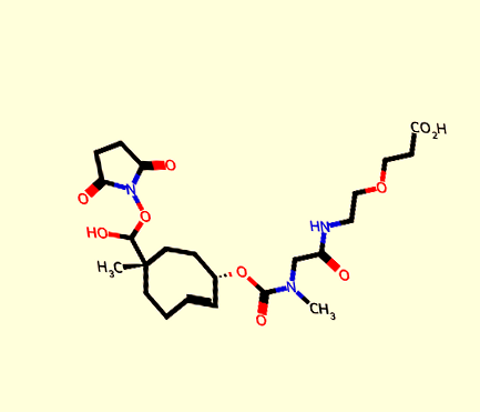 CN(CC(=O)NCCOCCC(=O)O)C(=O)O[C@@H]1/C=C/CC[C@](C)(C(O)ON2C(=O)CCC2=O)CC1